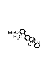 COc1cccc(-c2ccc3c(=O)n(-c4ccccn4)ncc3c2)c1C